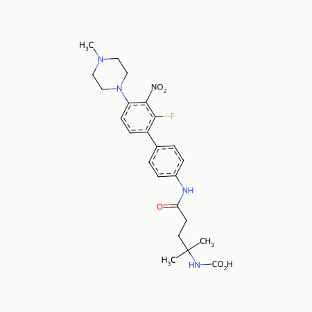 CN1CCN(c2ccc(-c3ccc(NC(=O)CCC(C)(C)NC(=O)O)cc3)c(F)c2[N+](=O)[O-])CC1